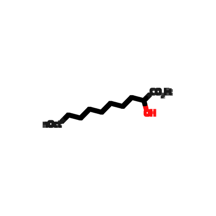 CCCCCCCCCCCCCCCC(O)C(=O)OCC